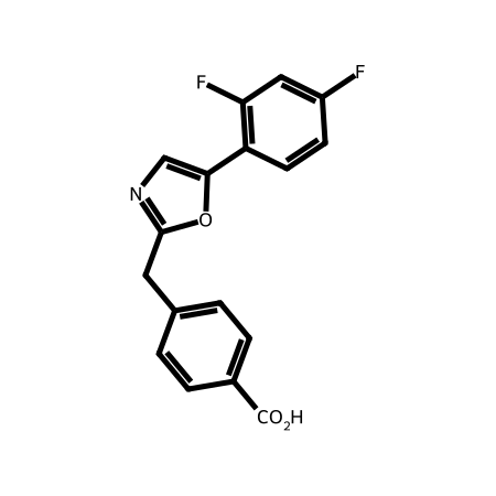 O=C(O)c1ccc(Cc2ncc(-c3ccc(F)cc3F)o2)cc1